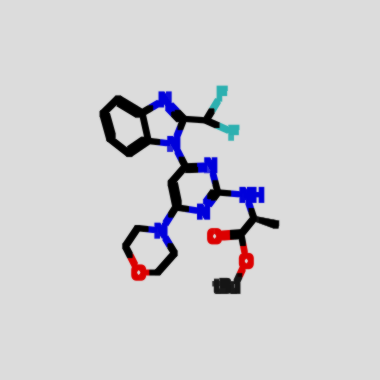 C[C@H](Nc1nc(N2CCOCC2)cc(-n2c(C(F)F)nc3ccccc32)n1)C(=O)OC(C)(C)C